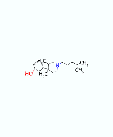 CC(C)CCCN1CCC(C)(c2cccc(O)c2)C(C)C1